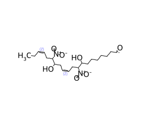 CC/C=C\CC(C(O)C/C=C\CC(C(O)CCCCCC[C]=O)[N+](=O)[O-])[N+](=O)[O-]